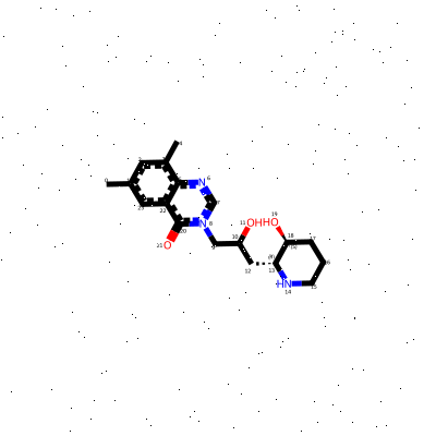 Cc1cc(C)c2ncn(CC(O)C[C@H]3NCCC[C@@H]3O)c(=O)c2c1